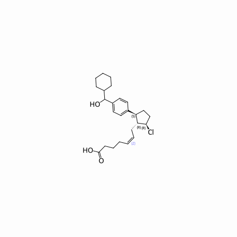 O=C(O)CCC/C=C\C[C@H]1[C@H](Cl)CC[C@@H]1c1ccc(C(O)C2CCCCC2)cc1